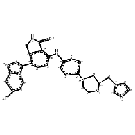 O=C1NCc2c(-c3cnc4cc(F)ccn34)ccc(Nc3ccc(N4CCO[C@H](Cn5ccnc5)C4)cn3)c21